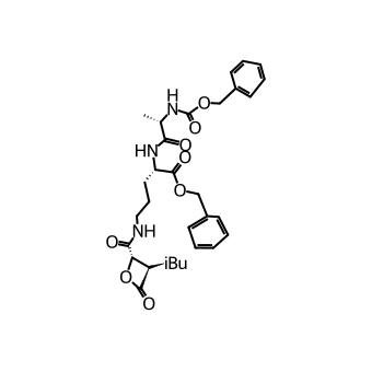 CC[C@H](C)[C@H]1C(=O)O[C@@H]1C(=O)NCCC[C@H](NC(=O)[C@H](C)NC(=O)OCc1ccccc1)C(=O)OCc1ccccc1